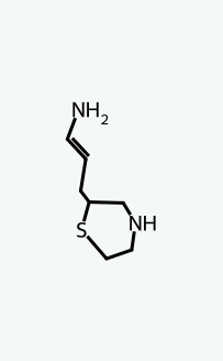 NC=CCC1CNCCS1